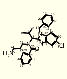 CC(C)C(c1nc2cc(Cl)ccc2n1Cc1ccccc1)N(CCCN)C(=O)c1ccccc1